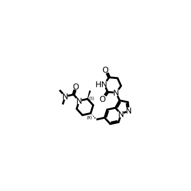 C[C@H]1C[C@H](Cc2ccn3ncc(N4CCC(=O)NC4=O)c3c2)CCN1C(=O)N(C)C